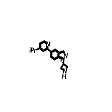 CC(C)c1ccnc(-c2ccc3c(cnn3C3CNC3)c2)c1